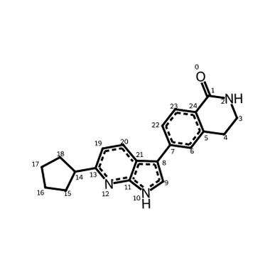 O=C1NCCc2cc(-c3c[nH]c4nc(C5CCCC5)ccc34)ccc21